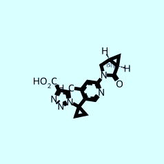 Cc1cc(N2C[C@H]3C[C@H]3C2=O)ncc1C1(n2cc(C(=O)O)nn2)CC1